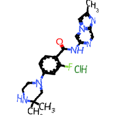 Cc1cn2cc(NC(=O)c3ccc(N4CCNC(C)(C)C4)cc3F)ncc2n1.Cl